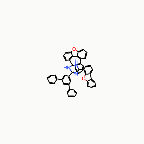 c1ccc(-c2cc(C3=NC(c4cccc5c4oc4ccccc45)NC(c4cccc5oc6cccc(-c7ccccc7)c6c45)N3)cc(-c3ccccc3)c2)cc1